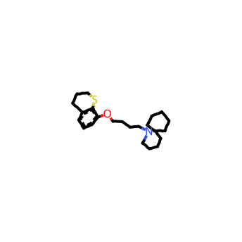 c1cc2c(c(OCCCCN3CCCCC34CCCCC4)c1)SCCC2